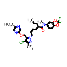 C=CC/C(=C\C=C/Cn1nc(C(F)(F)F)c(Cl)c1COc1cnc(C(=O)O)cn1)C(=O)N(C)c1ccc2c(c1)OC(F)(F)O2